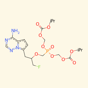 CC(C)OC(=O)OCOP(=O)(COC(CF)Cc1ccc2c(N)ncnn12)OCOC(=O)OC(C)C